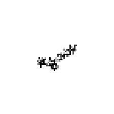 Cc1noc(C)c1CSc1ccccc1C(=O)N1CCN(c2ccc(C(F)(F)F)cn2)CC1